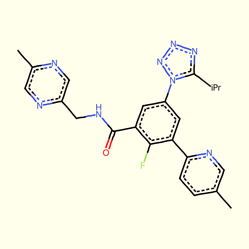 Cc1ccc(-c2cc(-n3nnnc3C(C)C)cc(C(=O)NCc3cnc(C)cn3)c2F)nc1